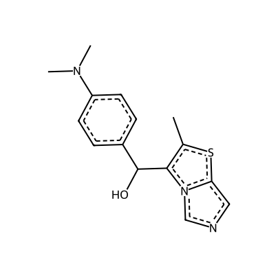 Cc1sc2cncn2c1C(O)c1ccc(N(C)C)cc1